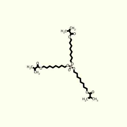 C=C(C)C(=O)OCCCCCCCCOP(=O)(OCCCCCCCCOC(=O)C(=C)C)OCCCCCCCCOC(=O)C(=C)C